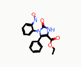 CCOC(=O)c1[nH]c(=O)n(-c2ccccc2N=O)c1-c1ccccc1